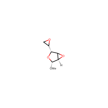 CO[C@@H]1O[C@H](C2CO2)C2O[C@H]21